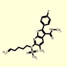 C=CCCCCN(c1nc2oc(-c3ccc(F)cc3)c(C(=O)NC)c2cc1C)S(C)(=O)=O